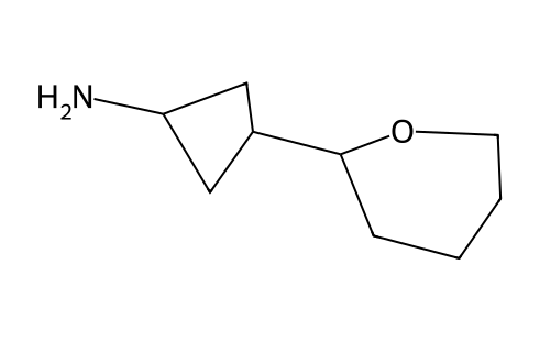 NC1CC(C2CCCCO2)C1